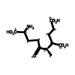 CN(C(=O)CCC(N)C(=O)O)C(CCC(=O)O)C(=O)O